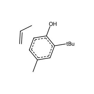 C=CC.Cc1ccc(O)c(C(C)(C)C)c1